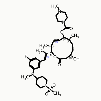 C/C(=C\c1cc(F)cc(N(C)C2CCN(S(C)(=O)=O)CC2)c1)[C@H]1OC(=O)C[C@H](O)CC[C@H](C)[C@H](OC(=O)N2CCN(C)CC2)/C=C/[C@@H]1C